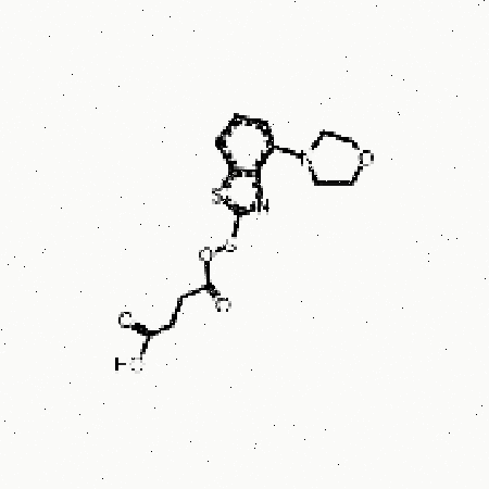 O=C(O)CCC(=O)OSc1nc2c(N3CCOCC3)cccc2s1